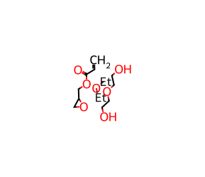 C=CC(=O)OCC1CO1.CCOCC.OCCOCCO